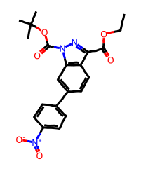 CCOC(=O)c1nn(C(=O)OC(C)(C)C)c2cc(-c3ccc([N+](=O)[O-])cc3)ccc12